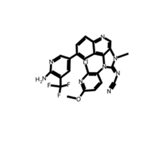 COc1ccc(-n2/c(=N\C#N)n(C)c3cnc4ccc(-c5cnc(N)c(C(F)(F)F)c5)cc4c32)c(Cl)n1